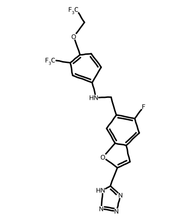 Fc1cc2cc(-c3nnn[nH]3)oc2cc1CNc1ccc(OCC(F)(F)F)c(C(F)(F)F)c1